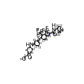 COCC(=O)N1CCC(Nc2cccc(Sc3ccc(/C=C/C(=O)Nc4ccnn4C)c(C(F)(F)F)c3C(F)(F)F)c2)CC1